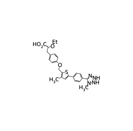 CCO[C@@H](Cc1ccc(OCc2sc(-c3ccc(C4=NNNN4C)cc3)cc2C)cc1)C(=O)O